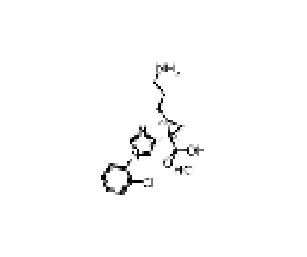 Cl.NCCC[C@H]1C[C@]1(C(=O)O)c1cn(-c2ccccc2Cl)cn1